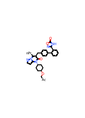 CCCc1c(Cc2ccc(-c3ccccc3-c3noc(=O)[nH]3)cc2)c(=O)n([C@H]2CC[C@H](OCC(C)=O)CC2)c2ccnn12